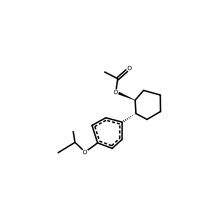 CC(=O)O[C@H]1CCCC[C@@H]1c1ccc(OC(C)C)cc1